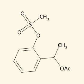 CC(=O)OC(C)c1ccccc1OS(C)(=O)=O